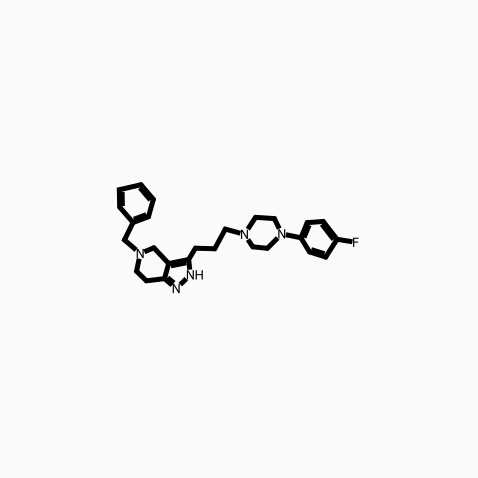 Fc1ccc(N2CCN(CCCc3[nH]nc4c3CN(Cc3ccccc3)CC4)CC2)cc1